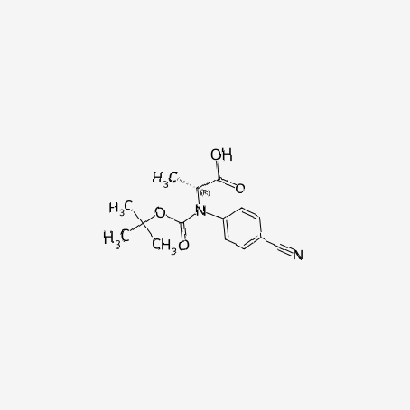 C[C@H](C(=O)O)N(C(=O)OC(C)(C)C)c1ccc(C#N)cc1